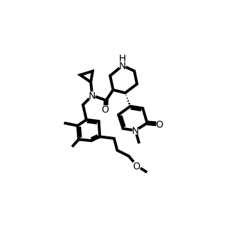 COCCCc1cc(C)c(C)c(CN(C(=O)C2CNCC[C@@H]2c2ccn(C)c(=O)c2)C2CC2)c1